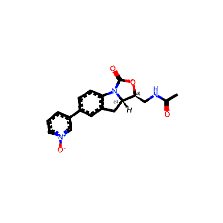 CC(=O)NC[C@@H]1OC(=O)N2c3ccc(-c4ccc[n+]([O-])c4)cc3C[C@@H]12